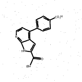 CC(C)(C)C(=O)c1cc2c(-c3ccc(C(=O)O)cc3)ccnc2[nH]1